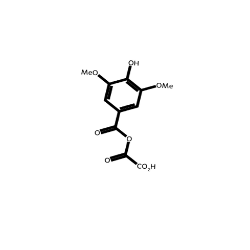 COc1cc(C(=O)OC(=O)C(=O)O)cc(OC)c1O